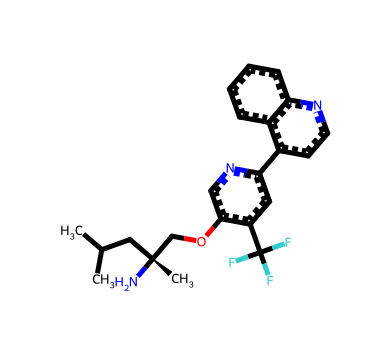 CC(C)C[C@@](C)(N)COc1cnc(-c2ccnc3ccccc23)cc1C(F)(F)F